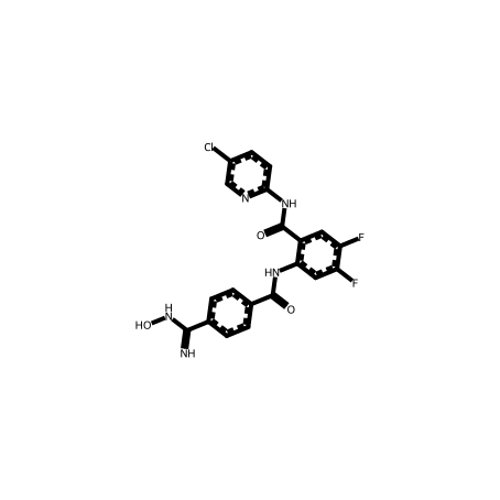 N=C(NO)c1ccc(C(=O)Nc2cc(F)c(F)cc2C(=O)Nc2ccc(Cl)cn2)cc1